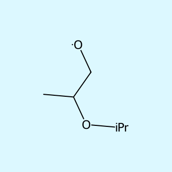 CC(C)OC(C)C[O]